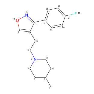 CC1CCN(CCc2conc2-c2ccc(F)cc2)CC1